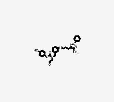 Cc1nn(-c2ccccc2)nc1CCCOc1cccc(CN(CC=O)C(=O)Oc2ccc(O)cc2)c1